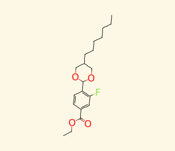 CCCCCCCC1COC(c2ccc(C(=O)OCC)cc2F)OC1